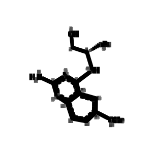 CCCC[C@@H](CO)Nc1nc(N)nc2ccc(OC)cc12